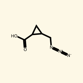 [N-]=[N+]=NCC1CC1C(=O)O